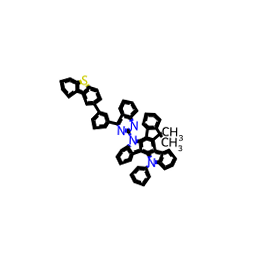 CC1(C)c2ccccc2-c2c1c1c3ccccc3n(-c3ccccc3)c1c1c3ccccc3n(-c3nc(-c4cccc(-c5ccc6sc7ccccc7c6c5)c4)c4ccccc4n3)c21